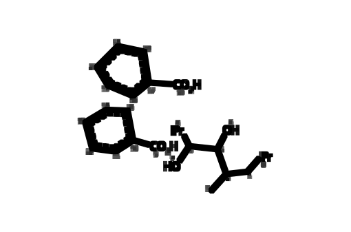 CC(C)CC(C)C(O)C(O)C(C)C.O=C(O)c1ccccc1.O=C(O)c1ccccc1